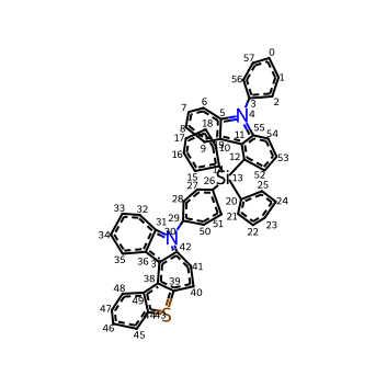 c1ccc(-n2c3ccccc3c3c([Si](c4ccccc4)(c4ccccc4)c4ccc(-n5c6ccccc6c6c7c(ccc65)sc5ccccc57)cc4)cccc32)cc1